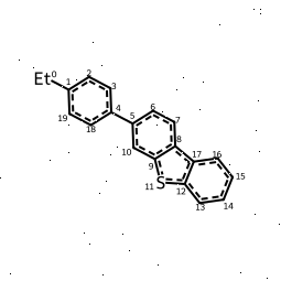 CCc1ccc(-c2ccc3c(c2)sc2ccccc23)cc1